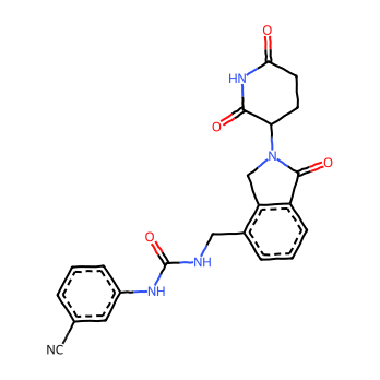 N#Cc1cccc(NC(=O)NCc2cccc3c2CN(C2CCC(=O)NC2=O)C3=O)c1